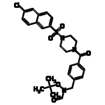 CC(C)(C)ON(C=O)Cc1ccc(C(=O)N2CCN(S(=O)(=O)c3ccc4cc(Cl)ccc4c3)CC2)cc1